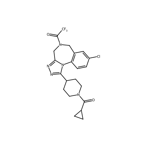 O=C(C1CC1)N1CCC(c2nnc3n2-c2ccc(Cl)cc2CN(C(=O)C(F)(F)F)C3)CC1